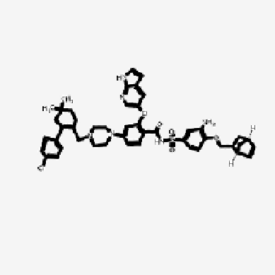 CC1(C)CCC(CN2CCN(c3ccc(C(=O)NS(=O)(=O)c4ccc(OCC5C[C@H]6C=C[C@@H]5C6)c(N)c4)c(Oc4cnc5[nH]ccc5c4)c3)CC2)=C(c2ccc(Cl)cc2)C1